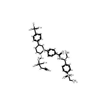 CCS(=O)(=O)c1ccc([C@H](CO)NC(=O)c2ccc(N3CC(c4ccc(C(F)(F)F)cc4)CC[C@H]3COC(F)(F)CC#N)cc2)cc1